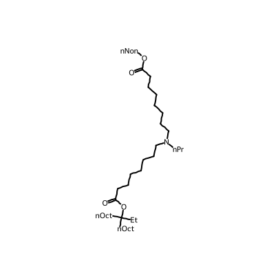 CCCCCCCCCOC(=O)CCCCCCCN(CCC)CCCCCCCC(=O)OC(CC)(CCCCCCCC)CCCCCCCC